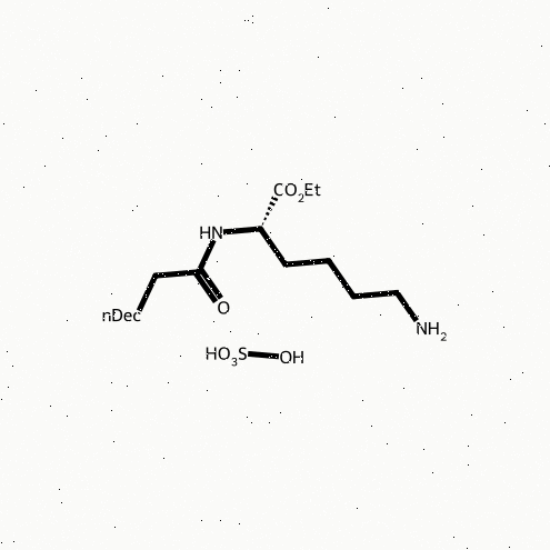 CCCCCCCCCCCC(=O)N[C@@H](CCCCN)C(=O)OCC.O=S(=O)(O)O